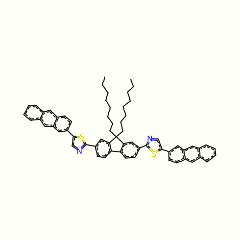 CCCCCCCCC1(CCCCCCCC)c2cc(-c3ncc(-c4ccc5cc6ccccc6cc5c4)s3)ccc2-c2ccc(-c3ncc(-c4ccc5cc6ccccc6cc5c4)s3)cc21